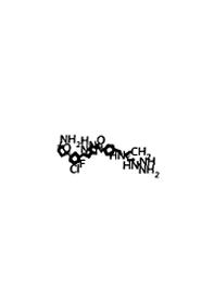 C=C[C@@H](CCNC(=N)N)NCc1ccc(-n2cc3cc(-c4cc([C@@H]5CC[C@H](CN)O5)cc(Cl)c4F)[nH]c3nc2=O)cc1